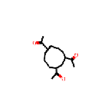 CC(=O)C1CCCC(C(C)=O)CC(C(C)=O)CCC1